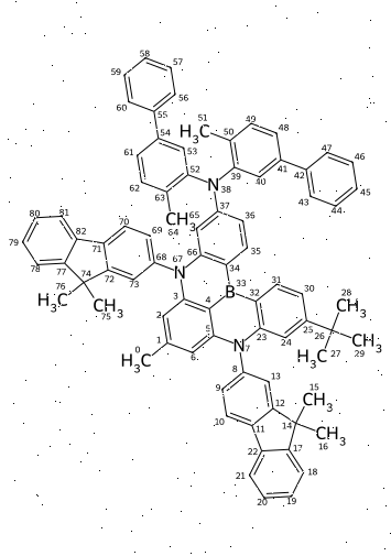 Cc1cc2c3c(c1)N(c1ccc4c(c1)C(C)(C)c1ccccc1-4)c1cc(C(C)(C)C)ccc1B3c1ccc(N(c3cc(-c4ccccc4)ccc3C)c3cc(-c4ccccc4)ccc3C)cc1N2c1ccc2c(c1)C(C)(C)c1ccccc1-2